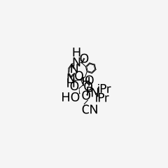 CC(C)N(C(C)C)P(OCCC#N)O[C@H]1[C@H]2C(=O)c3ccccc3C(=O)Nc3ccn(c(=O)n3)[C@@H]2O[C@@H]1CO